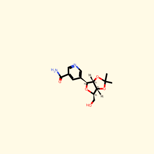 CC1(C)O[C@@H]2[C@H](O1)[C@@H](CO)O[C@H]2c1cncc(C(N)=O)c1